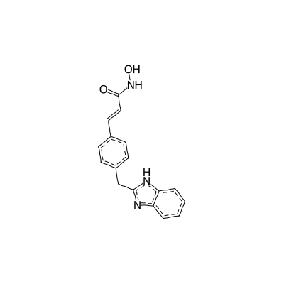 O=C(C=Cc1ccc(Cc2nc3ccccc3[nH]2)cc1)NO